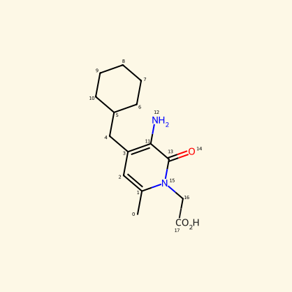 Cc1cc(CC2CCCCC2)c(N)c(=O)n1CC(=O)O